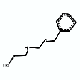 OCCNCC=Cc1ccccc1